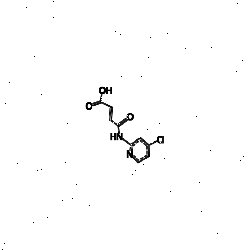 O=C(O)C=CC(=O)Nc1cc(Cl)ccn1